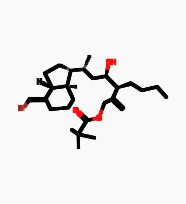 C=C(COC(=O)C(C)(C)C)[C@H](CCCC)[C@H](O)C[C@@H](C)[C@H]1CC[C@H]2/C(=C/Br)CCC[C@]12C